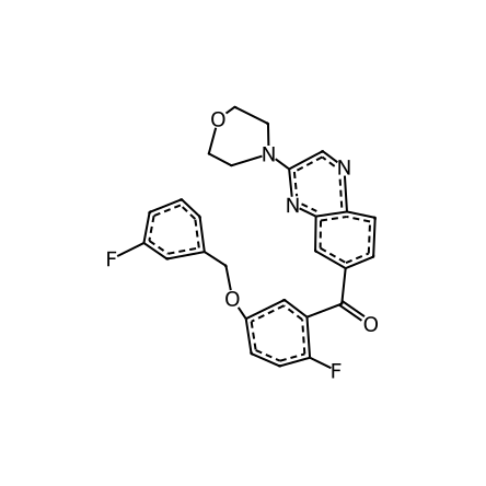 O=C(c1ccc2ncc(N3CCOCC3)nc2c1)c1cc(OCc2cccc(F)c2)ccc1F